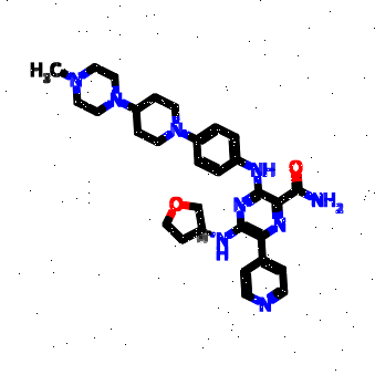 CN1CCN(C2CCN(c3ccc(Nc4nc(N[C@@H]5CCOC5)c(-c5ccncc5)nc4C(N)=O)cc3)CC2)CC1